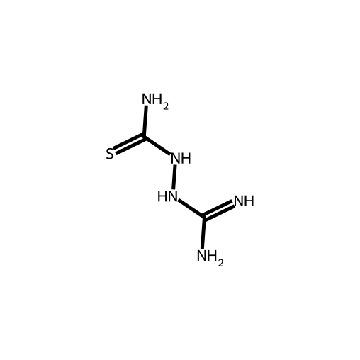 N=C(N)NNC(N)=S